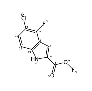 O=C(OF)c1cc2c(F)c(Cl)ccc2[nH]1